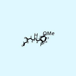 C=CCC(C)CCNCc1cc(OC)ccc1F